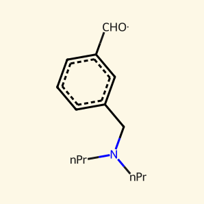 CCCN(CCC)Cc1cccc([C]=O)c1